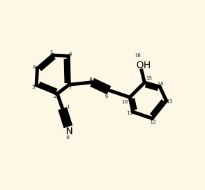 N#Cc1ccccc1C#Cc1ccccc1O